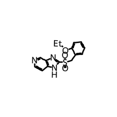 CCOc1ccccc1CS(=O)(=O)c1nc2cnccc2[nH]1